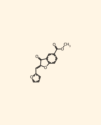 COC(=O)c1ccc2c(c1)C(=O)/C(=C/c1ccco1)O2